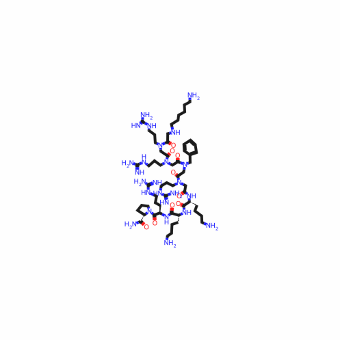 N=C(N)NCCC[C@@H](NC(=O)[C@@H](CCCCN)NC(=O)[C@@H](CCCCN)NC(=O)CN(CCCNC(=N)N)C(=O)CN(Cc1ccccc1)C(=O)CN(CCCNC(=N)N)C(=O)CN(CCCNC(=N)N)C(=O)CNCCCCCCN)C(=O)N1CCC[C@H]1C(N)=O